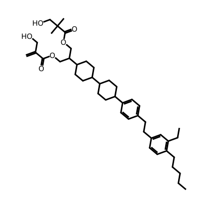 C=C(CO)C(=O)OCC(COC(=O)C(C)(C)CO)C1CCC(C2CCC(c3ccc(CCc4ccc(CCCCC)c(CC)c4)cc3)CC2)CC1